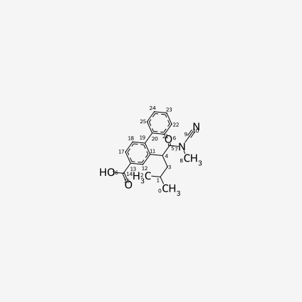 CC(C)CC(C(=O)N(C)C#N)c1cc(C(=O)O)ccc1-c1ccccc1